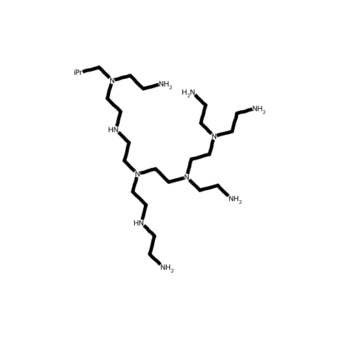 CC(C)CN(CCN)CCNCCN(CCNCCN)CCN(CCN)CCN(CCN)CCN